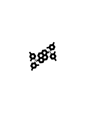 Cc1ccc(N(c2ccc(C)cc2C)c2ccc3ccc4c(N(c5ccc(C)cc5C)c5ccc(C)cc5C)ccc5ccc2c3c54)c(C)c1